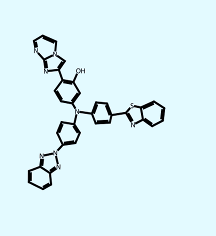 Oc1cc(N(c2ccc(-c3nc4ccccc4s3)cc2)c2ccc(-n3nc4ccccc4n3)cc2)ccc1-c1cn2cccnc2n1